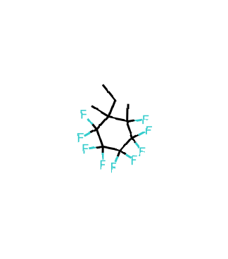 CCC1(C)C(C)(F)C(F)(F)C(F)(F)C(F)(F)C1(F)F